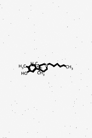 CCCCCCN1CC[C@](C)(c2ccc(C)c(O)c2)[C@@H](C)C1